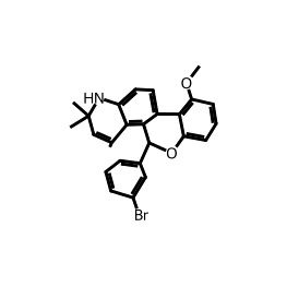 COc1cccc2c1-c1ccc3c(c1C(c1cccc(Br)c1)O2)C(C)=CC(C)(C)N3